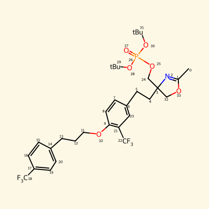 CC1=NC(CCc2ccc(OCCCc3ccc(C(F)(F)F)cc3)c(C(F)(F)F)c2)(COP(=O)(OC(C)(C)C)OC(C)(C)C)CO1